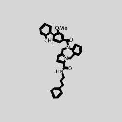 COc1cc(C(=O)N2Cc3ccc(C(=O)NCCCc4ccccc4)n3Cc3ccccc32)ccc1-c1ccccc1C